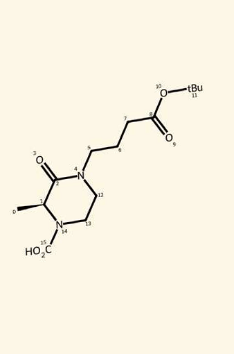 C[C@H]1C(=O)N(CCCC(=O)OC(C)(C)C)CCN1C(=O)O